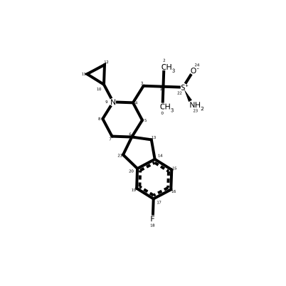 CC(C)(CC1CC2(CCN1C1CC1)Cc1ccc(F)cc1C2)[S@+](N)[O-]